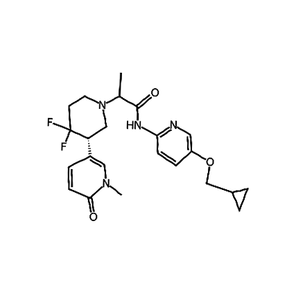 CC(C(=O)Nc1ccc(OCC2CC2)cn1)N1CCC(F)(F)[C@@H](c2ccc(=O)n(C)c2)C1